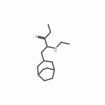 CCNC(CC1CC2CCC(CC2)C1)C(=O)CC